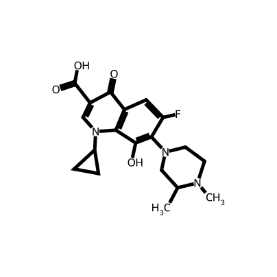 CC1CN(c2c(F)cc3c(=O)c(C(=O)O)cn(C4CC4)c3c2O)CCN1C